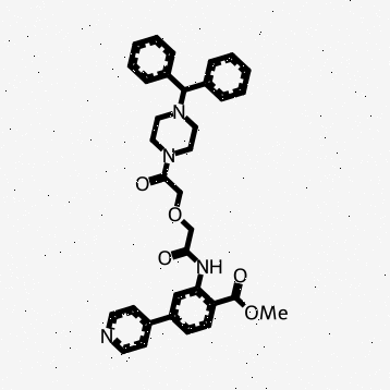 COC(=O)c1ccc(-c2ccncc2)cc1NC(=O)COCC(=O)N1CCN(C(c2ccccc2)c2ccccc2)CC1